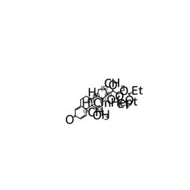 CCCCCCC[C@]12C[C@H](O)C3(Cl)[C@@H](CCC4=CC(=O)C=C[C@@]43C)[C@@H]1C[C@H](C)[C@]2(OC(=O)CC)C(=O)COC(=O)CC